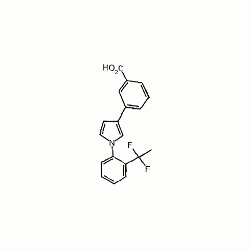 CC(F)(F)c1ccccc1-n1ccc(-c2cccc(C(=O)O)c2)c1